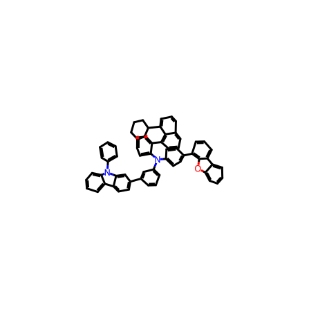 c1ccc(-n2c3ccccc3c3ccc(-c4cccc(N(c5ccc(-c6cccc7c6oc6ccccc67)cc5)c5ccccc5-c5cccc6cccc(C7CCCCC7)c56)c4)cc32)cc1